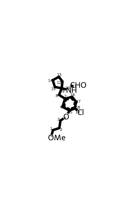 COCCCOc1cc(CC2(NC=O)CCCC2)ccc1Cl